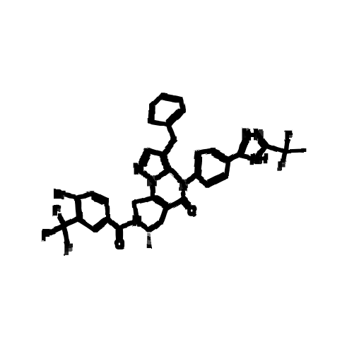 C[C@H]1Cc2c(n3ncc(Cc4ccccc4)c3n(-c3ccc(-c4nnc(C(C)(F)F)[nH]4)cc3)c2=O)CN1C(=O)c1ccc(Br)c(C(F)(F)F)c1